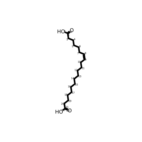 O=C(O)CCCCC/C=C\CCCCCCCCCCCC(=O)O